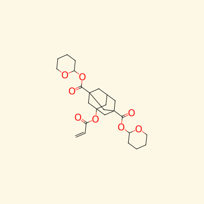 C=CC(=O)OC12CC3CC(C(=O)OC4CCCCO4)(C1)CC(C(=O)OC1CCCCO1)(C3)C2